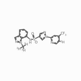 [2H]c1cnc(-n2cc(S(=O)(=O)Nc3cccc4cnn(C([2H])([2H])[2H])c34)cn2)cc1C(F)(F)F